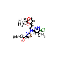 COC(=O)c1csc(N(CCC2CCOC(C)(C)O2)c2cc(C)c(Cl)nn2)n1